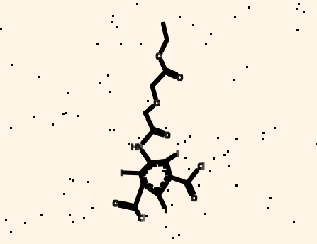 CCOC(=O)COCC(=O)Nc1c(I)c(C(=O)Cl)c(I)c(C(=O)Cl)c1I